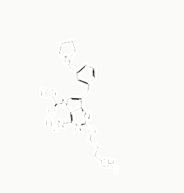 CCCCOc1nc(N)c2c(n1)c(Cc1cccc(CN3CCCC3)c1)cn2C(=O)O